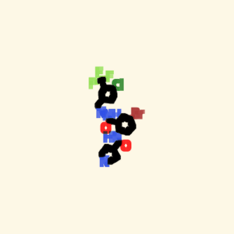 O=C(Nc1ccc(Br)cc1C(=O)N/N=C\c1ccc(Cl)c(C(F)(F)F)c1)c1ccncc1